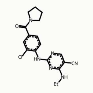 CCNc1nc(Nc2ccc(C(=O)N3CCCC3)cc2Cl)ncc1C#N